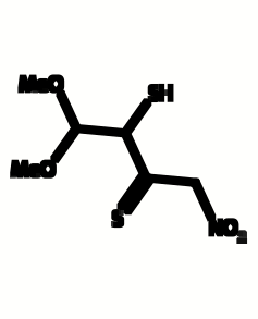 COC(OC)C(S)C(=S)C[N+](=O)[O-]